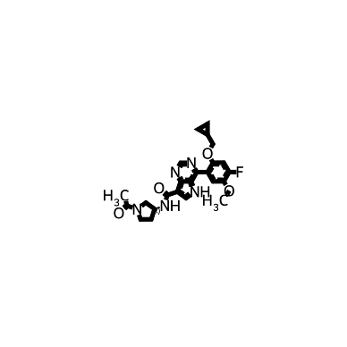 COc1cc(-c2ncnc3c(C(=O)N[C@@H]4CCN(C(C)=O)C4)c[nH]c23)c(OCC2CC2)cc1F